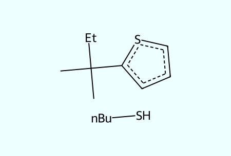 CCC(C)(C)c1cccs1.CCCCS